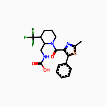 Cc1nc(C(=O)N2CCCC(C(F)(F)F)C2CNC(=O)O)c(-c2ccccc2)s1